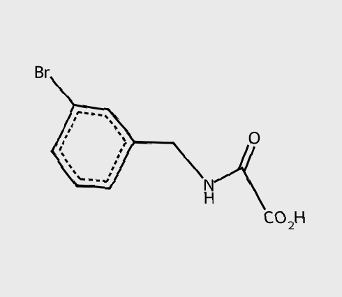 O=C(O)C(=O)NCc1cccc(Br)c1